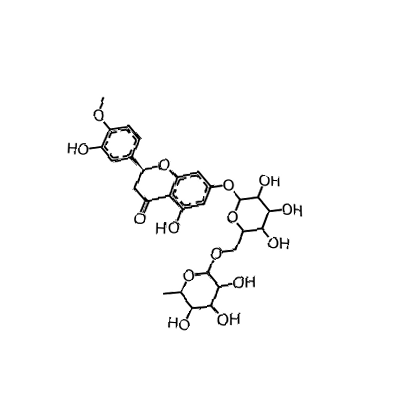 COc1ccc([C@@H]2CC(=O)c3c(O)cc(OC4OC(COC5OC(C)C(O)C(O)C5O)C(O)C(O)C4O)cc3O2)cc1O